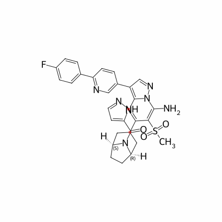 CS(=O)(=O)c1c(C2C[C@H]3CC[C@@H](C2)N3C(=O)c2ccn[nH]2)nc2c(-c3ccc(-c4ccc(F)cc4)nc3)cnn2c1N